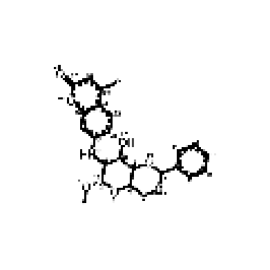 CO[C@H]1OC2COC(c3ccccc3)OC2C(O)C1Nc1ccc2c(C)cc(=O)oc2c1